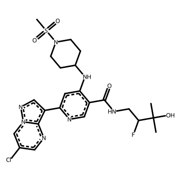 CC(C)(O)C(F)CNC(=O)c1cnc(-c2cnn3cc(Cl)cnc23)cc1NC1CCN(S(C)(=O)=O)CC1